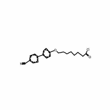 N#Cc1ccc(-c2ccc(OCCCCCCCC(=O)Cl)cc2)cc1